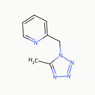 Cc1nnnn1Cc1ccccn1